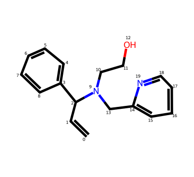 C=CC(c1ccccc1)N(CCO)Cc1ccccn1